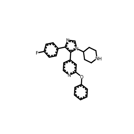 Fc1ccc(-c2ncn(C3CCNCC3)c2-c2ccnc(Oc3ccccc3)c2)cc1